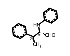 C[C@@H](c1ccccc1)[C@@H](C=O)Nc1ccccc1